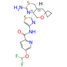 NC1=N[C@]2(c3nc(NC(=O)c4ccc(OC(F)F)cn4)cs3)COC3(CCC3)C[C@@H]2CS1